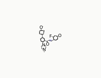 COc1ccc(-c2ccc(N3CCN(C)CC3)c(C(=O)/C=C/c3ccc(OC)cc3F)c2)cc1